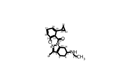 CCNC1CCc2c(I)nn(C(=O)c3c(Cl)cccc3C3CC3)c2C1